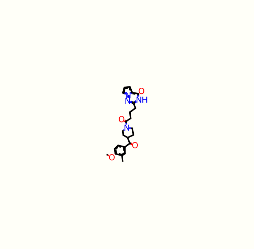 COc1ccc(C(=O)C2CCN(C(=O)CCCc3nn4cccc4c(=O)[nH]3)CC2)cc1C